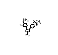 CS(=O)(=O)c1ccc(-c2cc(C(F)F)nn2-c2ccc(CN)c(Cl)c2)cc1